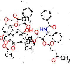 CC(=O)CCC(=O)O[C@@H](C(=O)O[C@H]1C[C@@]2(O)[C@@H](CC(=O)c3ccccc3)C3[C@]4(OC(C)=O)COC4C[C@H](O)[C@@]3(C)C(=O)[C@H](OC(C)=O)C(=C1C)C2(C)C)[C@@H](NC(=O)c1ccccc1)c1ccccc1